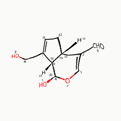 O=CC1=CO[C@@H](O)[C@@H]2C(CO)=CC[C@H]12